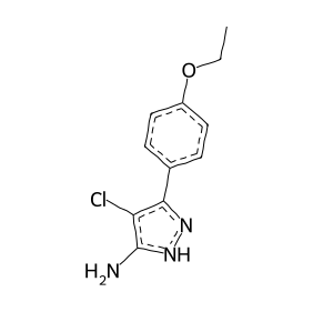 CCOc1ccc(-c2n[nH]c(N)c2Cl)cc1